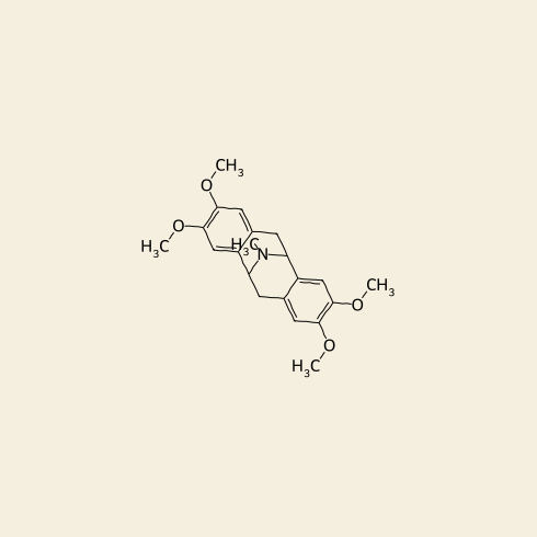 COc1cc2c(cc1OC)C1Cc3cc(OC)c(OC)cc3C(C2)N1C